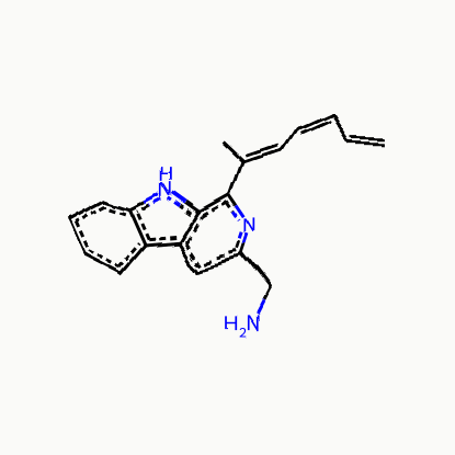 C=C/C=C\C=C(/C)c1nc(CN)cc2c1[nH]c1ccccc12